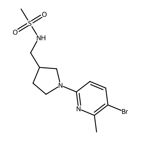 Cc1nc(N2CCC(CNS(C)(=O)=O)C2)ccc1Br